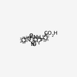 Cc1noc(-c2ccc(-c3cccc(C(=O)O)c3)cc2)c1C(N)C(=O)OCc1ccccc1